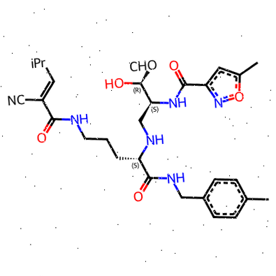 Cc1ccc(CNC(=O)[C@H](CCCNC(=O)C(C#N)=CC(C)C)NC[C@H](NC(=O)c2cc(C)on2)[C@@H](O)C=O)cc1